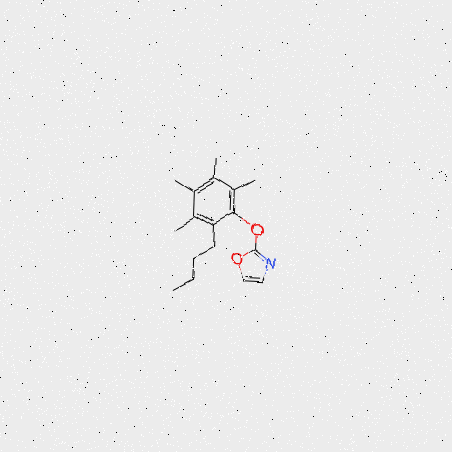 CCCCc1c(C)c(C)c(C)c(C)c1Oc1ncco1